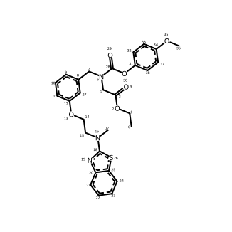 CCOC(=O)CN(Cc1cccc(OCCN(C)c2nc3ccccc3s2)c1)C(=O)Oc1ccc(OC)cc1